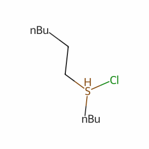 CCCCCC[SH](Cl)CCCC